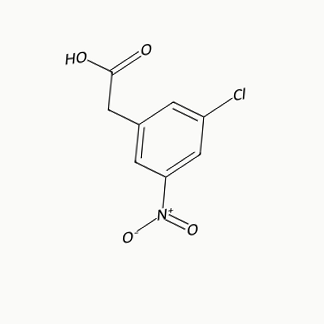 O=C(O)Cc1cc(Cl)cc([N+](=O)[O-])c1